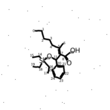 CCCCCC(C)=C(C(=O)O)C(O[Si](CC)(CC)CC)c1ccccc1